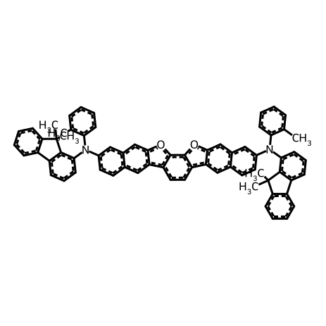 Cc1ccccc1N(c1ccc2cc3c(cc2c1)oc1c3ccc2c3cc4ccc(N(c5ccccc5C)c5cccc6c5C(C)(C)c5ccccc5-6)cc4cc3oc21)c1cccc2c1C(C)(C)c1ccccc1-2